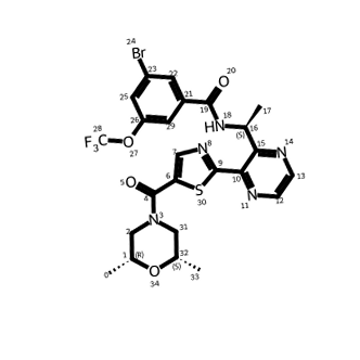 C[C@@H]1CN(C(=O)c2cnc(-c3nccnc3[C@H](C)NC(=O)c3cc(Br)cc(OC(F)(F)F)c3)s2)C[C@H](C)O1